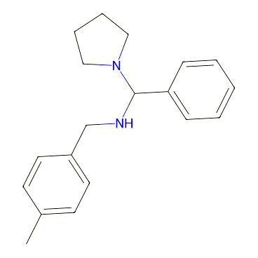 Cc1ccc(CNC(c2ccccc2)N2CCCC2)cc1